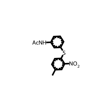 CC(=O)Nc1cccc(Sc2ccc(C)cc2[N+](=O)[O-])c1